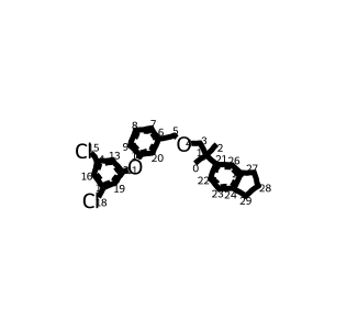 CC(C)(COCc1cccc(Oc2cc(Cl)cc(Cl)c2)c1)c1ccc2c(c1)CCC2